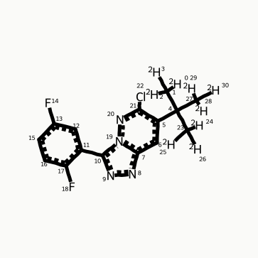 [2H]C([2H])([2H])C(c1cc2nnc(-c3cc(F)ccc3F)n2nc1Cl)(C([2H])([2H])[2H])C([2H])([2H])[2H]